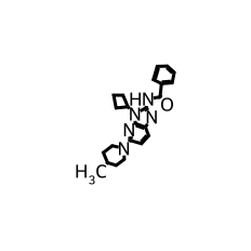 CC1CCN(c2ccc3nc(NC(=O)c4ccccc4)n(C4CCC4)c3n2)CC1